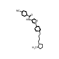 CC1CCCN1CCCOc1ccc(-n2cc(NC(=O)c3ccc(C#N)cc3)cn2)cc1